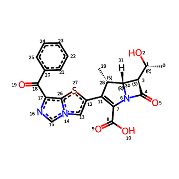 C[C@@H](O)[C@H]1C(=O)N2C(C(=O)O)=C(c3cn4cnc(C(=O)c5ccccc5)c4s3)[C@H](C)[C@H]12